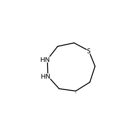 [CH]1CCSCCNNC1